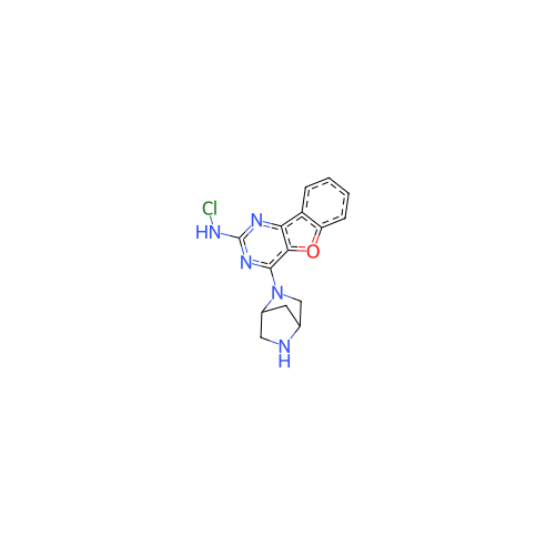 ClNc1nc(N2CC3CC2CN3)c2oc3ccccc3c2n1